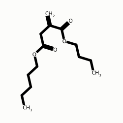 C=C(CC(=O)OCCCCC)C(=O)OCCCC